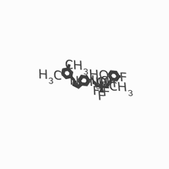 Cc1cc(C)cc(-n2ccc3cc(NCC(O)(CC(C)(C)c4cc(F)ccc4O)C(F)(F)F)ccc32)c1